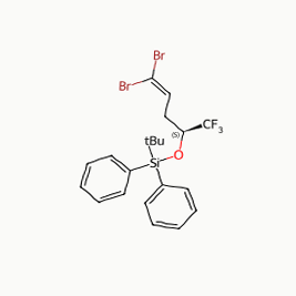 CC(C)(C)[Si](O[C@@H](CC=C(Br)Br)C(F)(F)F)(c1ccccc1)c1ccccc1